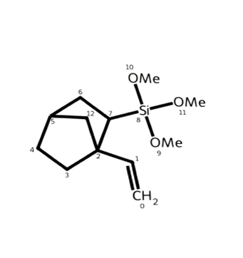 C=CC12CCC(CC1[Si](OC)(OC)OC)C2